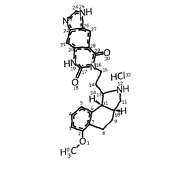 COc1cccc2c1CC[C@H]1CNC(CCn3c(=O)[nH]c4cc5nc[nH]c5cc4c3=O)[C@@H]21.Cl